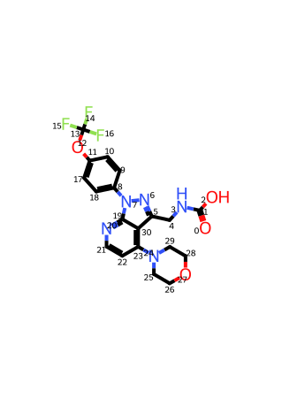 O=C(O)NCc1nn(-c2ccc(OC(F)(F)F)cc2)c2nccc(N3CCOCC3)c12